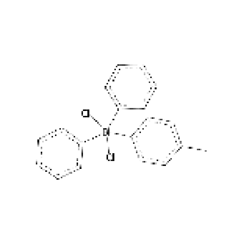 Cc1cc[c]([Bi]([Cl])([Cl])([c]2ccccc2)[c]2ccccc2)cc1